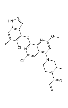 C=CC(=O)N1CCN(c2nc(OC)nc3c(Oc4c(Cl)c(F)cc5[nH]ncc45)nc(Cl)cc23)CC1C